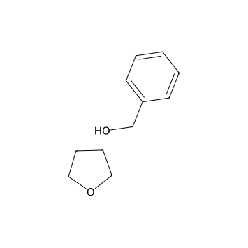 C1CCOC1.OCc1ccccc1